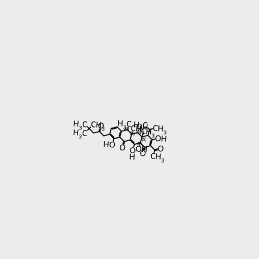 CC(=O)C1=C(O)C(C(C)C)[C@@]2(C)[C@H](O)[C@]3(C)C(=C(O)[C@@]2(O)C1=O)C(=O)c1c(ccc(CC(=O)CC(C)(C)C)c1O)[C@H]3C